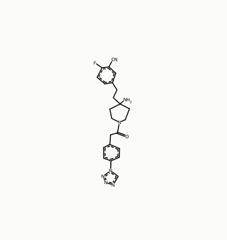 N#Cc1cc(CCC2(N)CCN(C(=O)Cc3ccc(-n4cnnn4)cc3)CC2)ccc1F